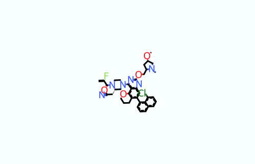 C=C(F)C(=O)N1CCN(c2nc(OCC3C[C@@H](OC)CN3C)nc3cc(-c4cccc5cccc(Cl)c45)c4c(c23)OCCC4)C[C@@H]1CC#N